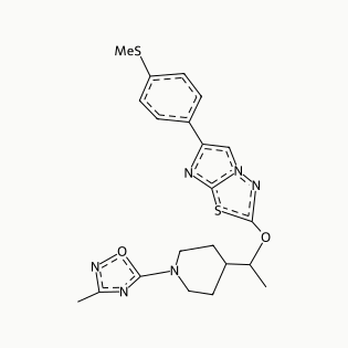 CSc1ccc(-c2cn3nc(OC(C)C4CCN(c5nc(C)no5)CC4)sc3n2)cc1